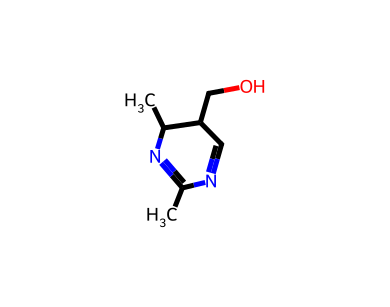 CC1=NC(C)C(CO)C=N1